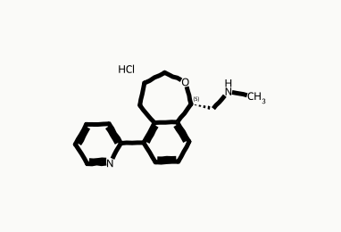 CNC[C@H]1OCCCc2c(-c3ccccn3)cccc21.Cl